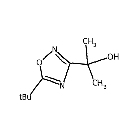 CC(C)(C)c1nc(C(C)(C)O)no1